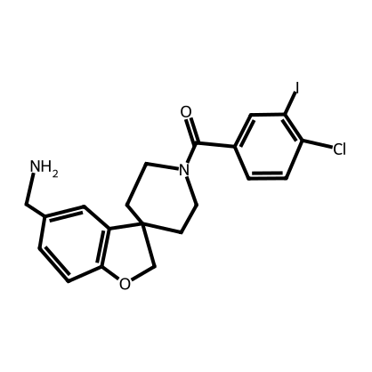 NCc1ccc2c(c1)C1(CCN(C(=O)c3ccc(Cl)c(I)c3)CC1)CO2